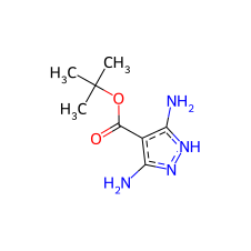 CC(C)(C)OC(=O)c1c(N)n[nH]c1N